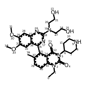 CCn1c(=O)n(C2CCNCC2)c(=O)c2c(-c3nc(N(CCO)CCO)nc4cc(OC)c(OC)cc34)c(C)ccc21